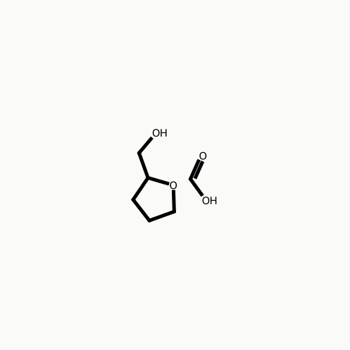 O=CO.OCC1CCCO1